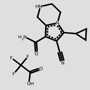 N#Cc1c(C(N)=O)c2n(c1C1CC1)CCNC2.O=C(O)C(F)(F)F